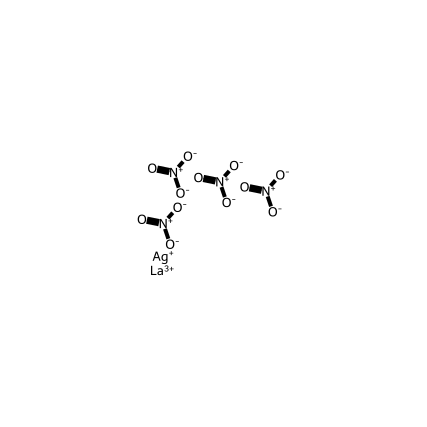 O=[N+]([O-])[O-].O=[N+]([O-])[O-].O=[N+]([O-])[O-].O=[N+]([O-])[O-].[Ag+].[La+3]